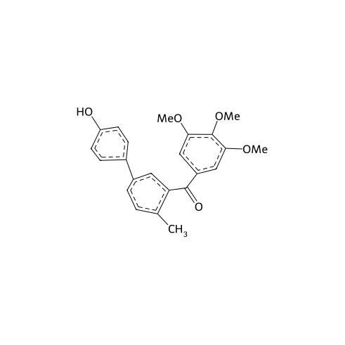 COc1cc(C(=O)c2cc(-c3ccc(O)cc3)ccc2C)cc(OC)c1OC